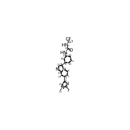 Cc1nc(-c2ccn3c(-c4cccc(NC(=O)NCC(F)(F)F)c4)cnc3c2)cn1C